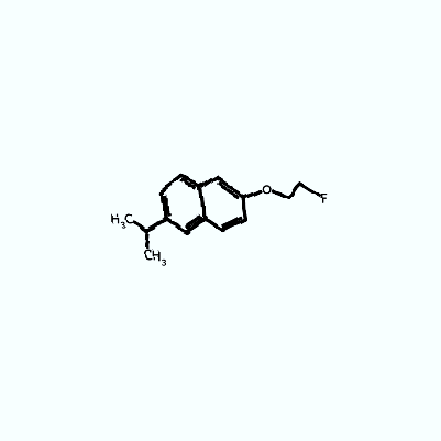 CC(C)c1ccc2cc(OCCF)ccc2c1